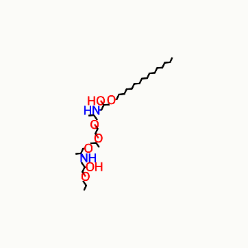 CCCCCCCCCCCCCCCCOCC(O)CNC(C)COCCOC(C)COCC(C)NCC(O)COCCC